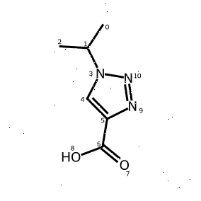 CC(C)n1cc(C(=O)O)nn1